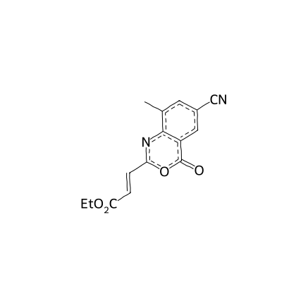 CCOC(=O)/C=C/c1nc2c(C)cc(C#N)cc2c(=O)o1